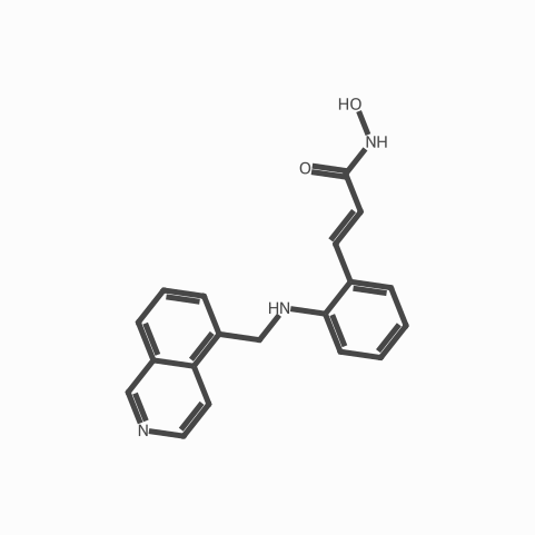 O=C(/C=C/c1ccccc1NCc1cccc2cnccc12)NO